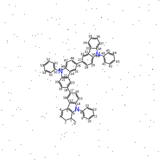 CC1CC=Cc2c1n(-c1ccccc1)c1ccc(-c3ccc4c(c3)c3cc(-c5ccc6c(c5)c5ccccc5n6-c5ccccc5)ccc3n4-c3ccccc3)cc21